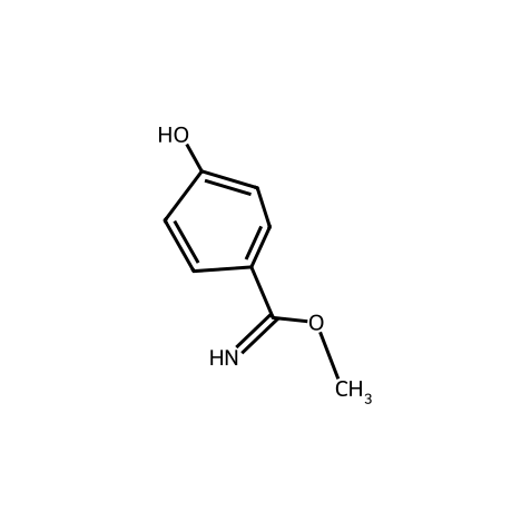 COC(=N)c1ccc(O)cc1